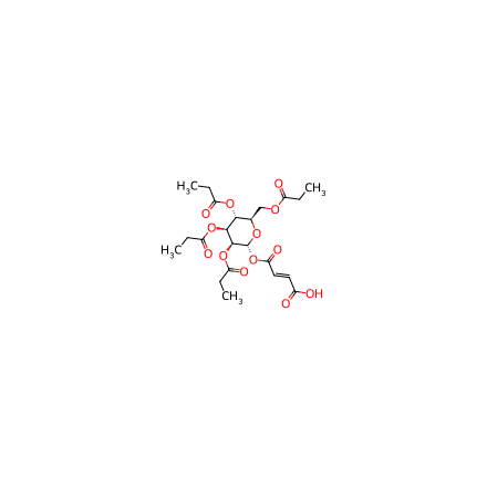 CCC(=O)OC[C@H]1O[C@H](OC(=O)/C=C/C(=O)O)[C@@H](OC(=O)CC)[C@@H](OC(=O)CC)[C@@H]1OC(=O)CC